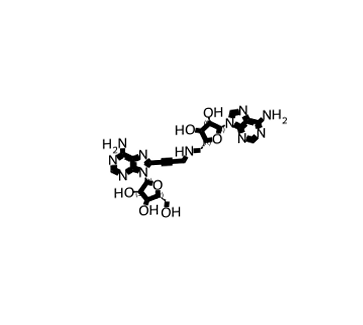 Nc1ncnc2c1ncn2[C@@H]1O[C@H](CNCC#Cc2nc3c(N)ncnc3n2[C@@H]2O[C@H](CO)C(O)[C@@H]2O)C(O)[C@@H]1O